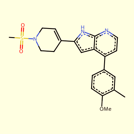 COc1ccc(-c2ccnc3[nH]c(C4=CCN(S(C)(=O)=O)CC4)cc23)cc1C